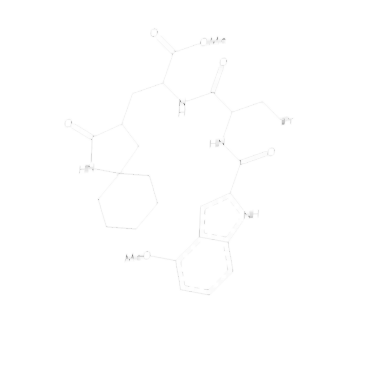 COC(=O)C(CC1CC2(CCCCC2)NC1=O)NC(=O)C(CC(C)C)NC(=O)c1cc2c(OC)cccc2[nH]1